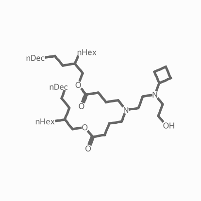 CCCCCCCCCCCCC(CCCCCC)COC(=O)CCCN(CCCC(=O)OCC(CCCCCC)CCCCCCCCCCCC)CCN(CCO)C1CCC1